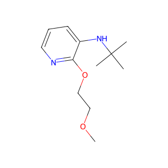 COCCOc1ncccc1NC(C)(C)C